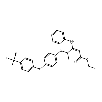 CCOC(=O)C=C(Nc1ccccc1)C(C)Oc1ccc(Oc2ccc(C(F)(F)F)cc2)cc1